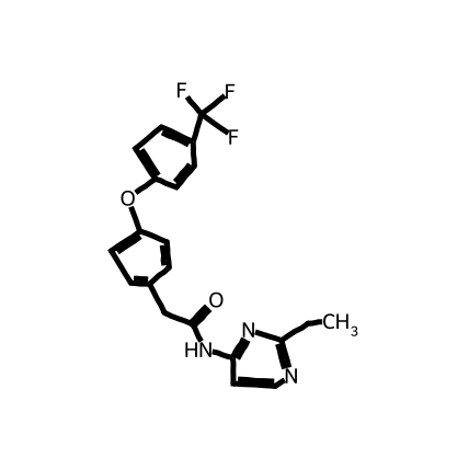 CCc1nccc(NC(=O)Cc2ccc(Oc3ccc(C(F)(F)F)cc3)cc2)n1